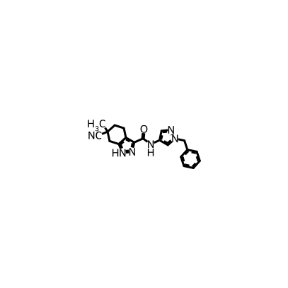 CC1(C#N)CCc2c(C(=O)Nc3cnn(Cc4ccccc4)c3)n[nH]c2C1